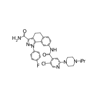 CC(C)N1CCN(c2cc(C(=O)Nc3ccc4c(c3)-c3c(c(C(N)=O)nn3-c3ccc(F)cc3)CC4)c(Cl)cn2)CC1